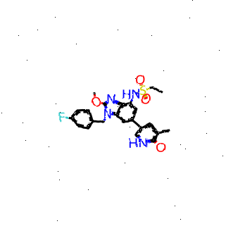 CCS(=O)(=O)Nc1cc(-c2c[nH]c(=O)c(C)c2)cc2c1nc(OC)n2Cc1ccc(F)cc1